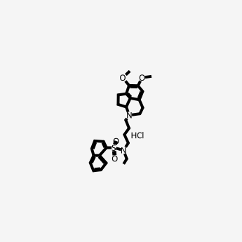 CCN(CCCCN1CCc2cc(OC)c(OC)c3c2C1CC3)S(=O)(=O)c1cccc2ccccc12.Cl